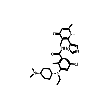 CCN(c1cc(Cl)cc(C(=O)NCc2c(-c3cnco3)[nH]c(C)cc2=O)c1C)[C@H]1CC[C@H](N(C)C)CC1